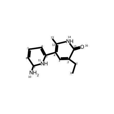 CCc1cc(C2=CC=CC(N)N2)c(C)[nH]c1=O